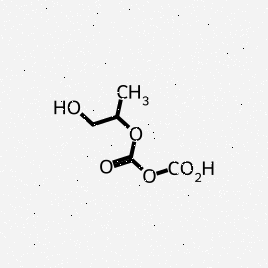 CC(CO)OC(=O)OC(=O)O